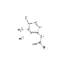 Cl.NC(=O)Oc1cc(N)c(F)cn1